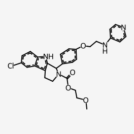 COCCOC(=O)N1CCc2c([nH]c3ccc(Cl)cc23)C1c1ccc(OCCNc2ccncc2)cc1